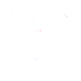 C[n+]1ccc(-c2cc[n+](C)cc2)cc1.O.O.O.[Cl-].[Cl-]